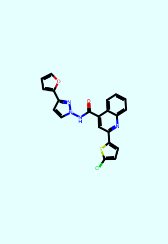 O=C(Nn1ccc(-c2ccco2)n1)c1cc(-c2ccc(Cl)s2)nc2ccccc12